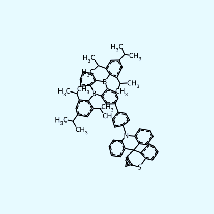 CC(C)c1cc(C(C)C)c(B2c3ccccc3B(c3c(C(C)C)cc(C(C)C)cc3C(C)C)c3cc(-c4ccc(N5c6ccccc6C6(c7ccccc7Sc7ccccc76)c6ccccc65)cc4)ccc32)c(C(C)C)c1